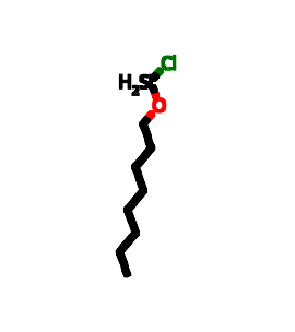 CCCCCCCCO[SiH2]Cl